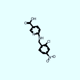 O=C(O)c1ccc(NCc2ccc([N+](=O)[O-])cc2Cl)nc1